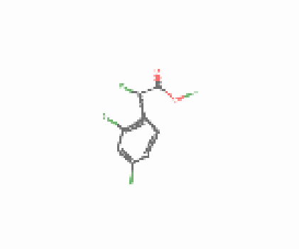 O=C(OF)C(F)c1ccc(F)cc1F